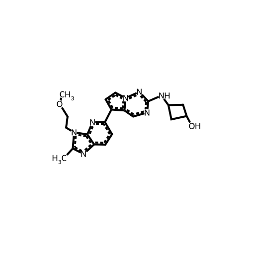 COCCn1c(C)nc2ccc(-c3ccn4nc(NC5CC(O)C5)ncc34)nc21